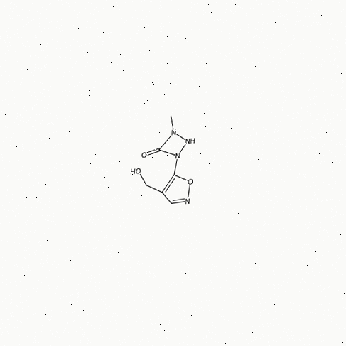 Cn1[nH]n(-c2oncc2CO)c1=O